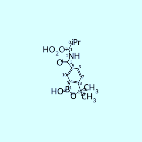 CC(C)C(NC(=O)c1ccc2c(c1)B(O)OC2(C)C)C(=O)O